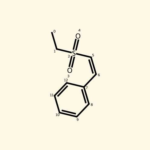 CCS(=O)(=O)/C=C\c1ccccc1